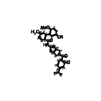 COc1ccc(C#N)cc1-c1cc(C)ncc1C(=O)Nc1nc2c(s1)CN(C(=O)c1ccc(C(F)F)cc1Cl)C2